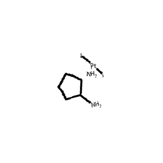 N.NC1CCCC1.[I][Pt][I]